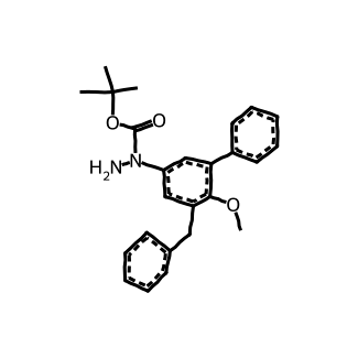 COc1c(Cc2ccccc2)cc(N(N)C(=O)OC(C)(C)C)cc1-c1ccccc1